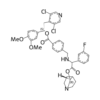 COc1ccc([C@H](Cc2c(Cl)cncc2Cl)OC(=O)c2ccc(CNC(C(=O)O[C@H]3CN4CCC3CC4)c3cccc(F)c3)cc2)cc1OC